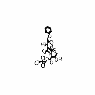 O=C(COc1ccccc1)NC1C(=O)N2C(C(=O)OCC(Cl)(Cl)Cl)=C(O)CS[C@H]12